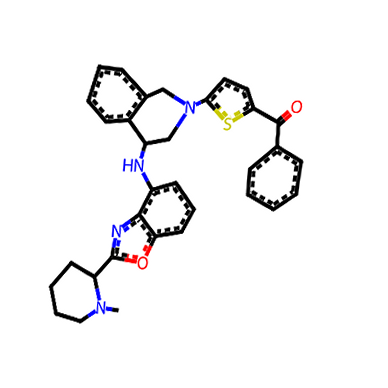 CN1CCCCC1c1nc2c(NC3CN(c4ccc(C(=O)c5ccccc5)s4)Cc4ccccc43)cccc2o1